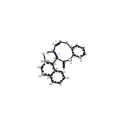 C=C1Oc2ncccc2C/C=C\C(C)=C/1c1c2ccccc2nc[n+]1C